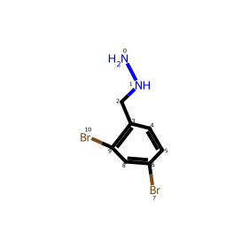 NNCc1ccc(Br)cc1Br